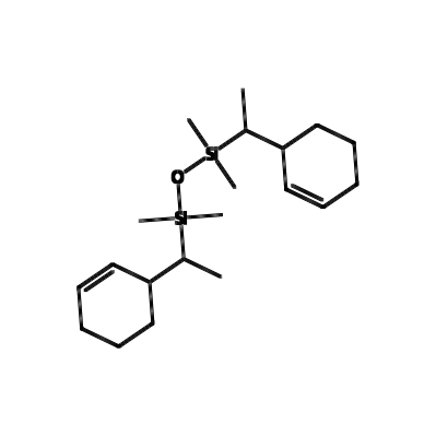 CC(C1C=CCCC1)[Si](C)(C)O[Si](C)(C)C(C)C1C=CCCC1